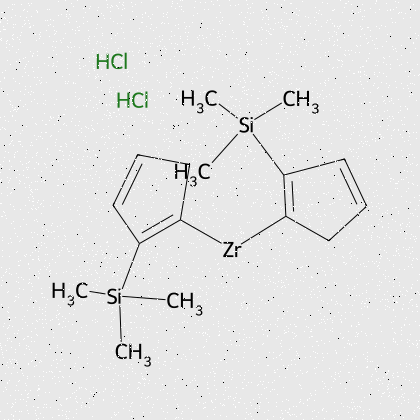 C[Si](C)(C)C1=[C]([Zr][C]2=C([Si](C)(C)C)C=CC2)CC=C1.Cl.Cl